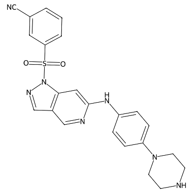 N#Cc1cccc(S(=O)(=O)n2ncc3cnc(Nc4ccc(N5CCNCC5)cc4)cc32)c1